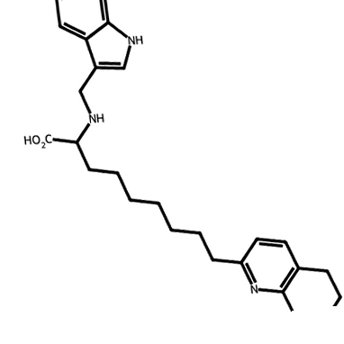 O=C(O)C(CCCCCCCc1ccc2c(n1)NCCC2)NCc1c[nH]c2ncccc12